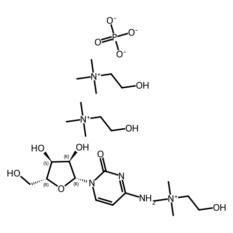 C[N+](C)(C)CCO.C[N+](C)(C)CCO.C[N+](C)(C)CCO.Nc1ccn([C@@H]2O[C@H](CO)[C@@H](O)[C@H]2O)c(=O)n1.O=P([O-])([O-])[O-]